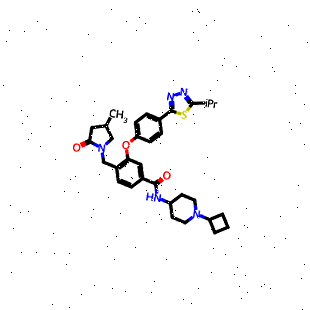 CC1CC(=O)N(Cc2ccc(C(=O)NC3CCN(C4CCC4)CC3)cc2Oc2ccc(-c3nnc(C(C)C)s3)cc2)C1